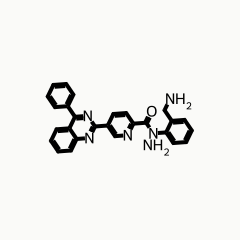 NCc1ccccc1N(N)C(=O)c1ccc(-c2nc(-c3ccccc3)c3ccccc3n2)cn1